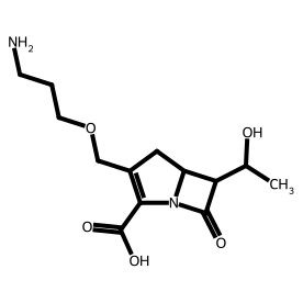 CC(O)C1C(=O)N2C(C(=O)O)=C(COCCCN)CC12